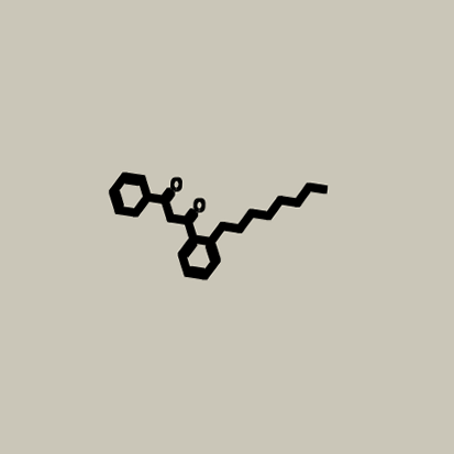 CCCCCCCCc1ccccc1C(=O)CC(=O)C1C=CC=CC1